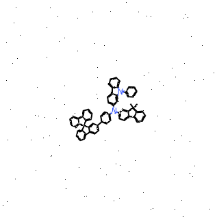 CC1(C)c2ccccc2-c2ccc(N(c3ccc(-c4ccc5c(c4)C4(c6ccccc6-c6ccccc64)c4ccccc4-5)cc3)c3ccc4c5ccccc5n(-c5ccccc5)c4c3)cc21